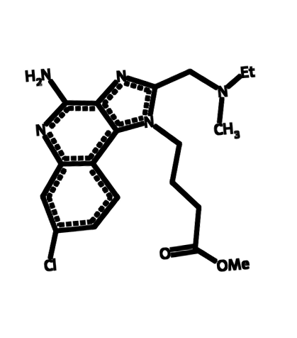 CCN(C)Cc1nc2c(N)nc3cc(Cl)ccc3c2n1CCCC(=O)OC